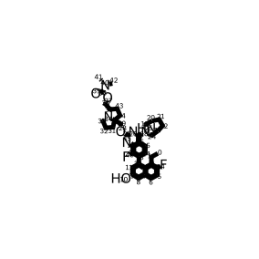 CCc1c(F)ccc2cc(O)cc(-c3ccc4c(N5CC6CCC(C5)N6)nc(OCC56CCCN5C(COC(=O)N(C)C)CC6)nc4c3F)c12